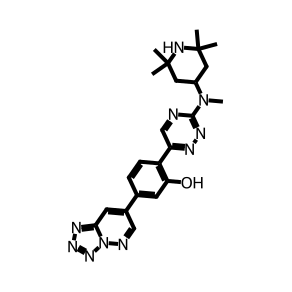 CN(c1ncc(-c2ccc(-c3cnn4nnnc4c3)cc2O)nn1)C1CC(C)(C)NC(C)(C)C1